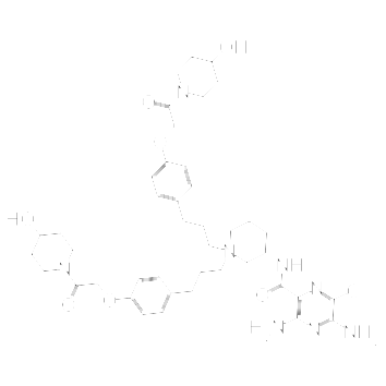 Nc1nc(N)c(C(=O)N[C@H]2CCC[N+](CCCc3ccc(OCC(=O)N4CCC(O)CC4)cc3)(CCCc3ccc(OCC(=O)N4CCC(O)CC4)cc3)C2)nc1Cl